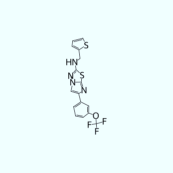 FC(F)(F)Oc1cccc(-c2cn3nc(NCc4cccs4)sc3n2)c1